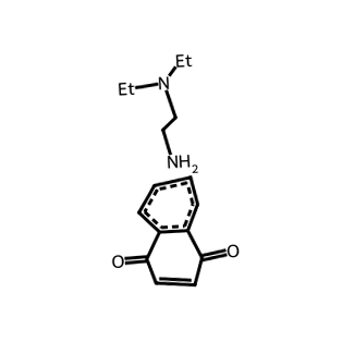 CCN(CC)CCN.O=C1C=CC(=O)c2ccccc21